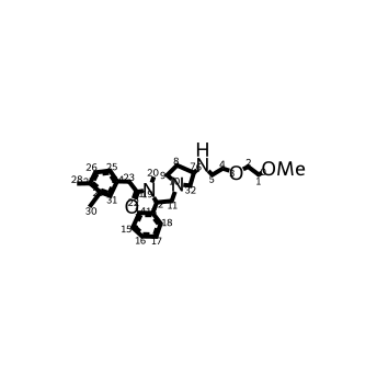 COCCOCCNC1CCN(CC(c2ccccc2)N(C)C(=O)Cc2ccc(C)c(C)c2)C1